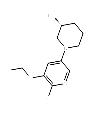 CCOc1cc(N2CCC[C@H](N)C2)cnc1Br